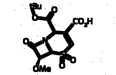 CO[C@H]1C(=O)N2C(C(=O)OC(C)(C)C)C(C(=O)O)=CS(=O)(=O)C12